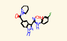 O=C(c1ccc2[nH]nc(C(=NO)Nc3ccc(F)cc3)c2c1)N1CCCCC1